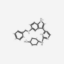 OC1CCC(Nc2nccc(-c3c[nH]c4ccc(OCc5ccccc5)cc34)n2)CC1